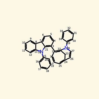 C1=CC(c2cccc3c4ccccc4n(-c4ccccc4)c23)=C2CC(=C1)C=CN2c1ccccc1